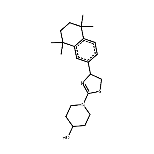 CC1(C)CCC(C)(C)c2cc(C3CSC(N4CCC(O)CC4)=N3)ccc21